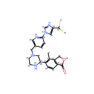 Cc1c([C@@H]2CN(Cc3ccc(-n4cnc(C(F)F)c4)nc3)CCN2)ccc2c1COC2=O